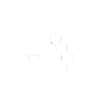 Cc1cc([C@H]2CN(c3nc(C)nc4cccc(-c5ccc(F)cc5F)c34)CCO2)ccn1